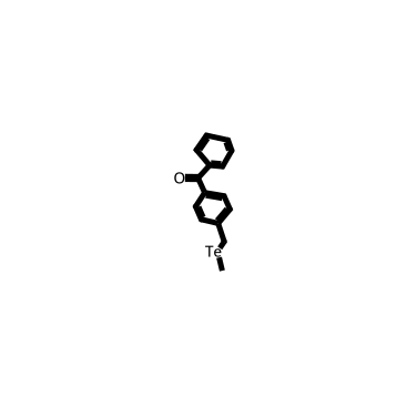 C[Te]Cc1ccc(C(=O)c2ccccc2)cc1